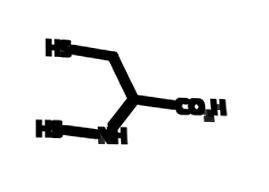 O=C(O)C(CS)NS